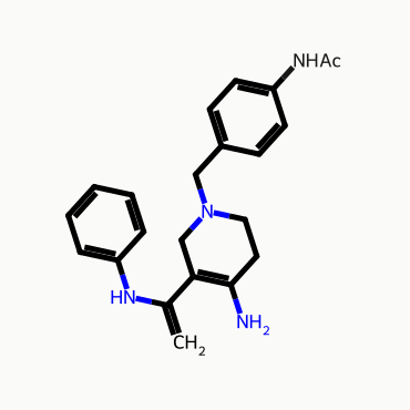 C=C(Nc1ccccc1)C1=C(N)CCN(Cc2ccc(NC(C)=O)cc2)C1